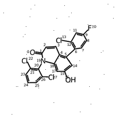 O=c1ccc2c(-c3ccc(F)cc3Cl)cc(O)cc2n1-c1c(Cl)cccc1Cl